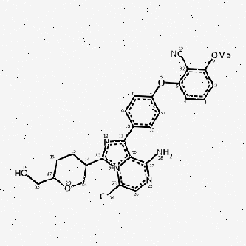 COc1cccc(Oc2ccc(-c3nc(C4CCC(CO)OC4)n4c(Cl)cnc(N)c34)cc2)c1C#N